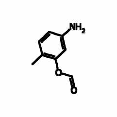 Cc1ccc(N)cc1OC=O